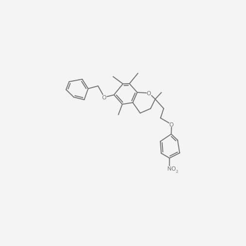 Cc1c(C)c2c(c(C)c1OCc1ccccc1)CCC(C)(CCOc1ccc([N+](=O)[O-])cc1)O2